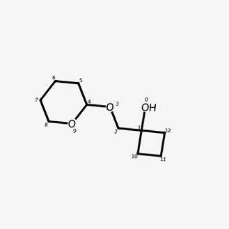 OC1(COC2CCCCO2)CCC1